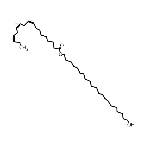 CC/C=C\C/C=C\C/C=C\CCCCCCCC(=O)OCCCCCCCCCCCCCCCCCCCCCO